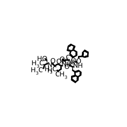 CCC(C)[C@@H](CO)NC(=O)CC(O)C(CC(C)C)NC(=O)[C@H](Cc1cccc2ccccc12)NC(=O)[C@H](Cc1cccc2ccccc12)NC(=O)OCc1ccccc1